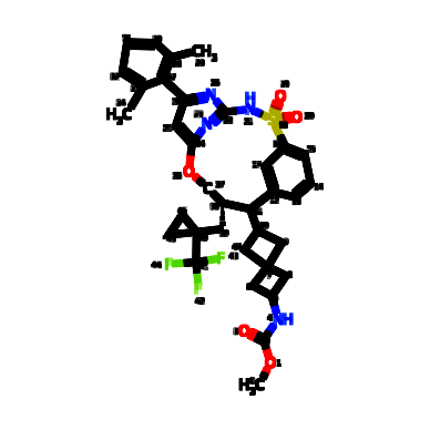 COC(=O)NC1CC2(C1)CC(C1c3cccc(c3)S(=O)(=O)Nc3nc(cc(-c4c(C)cccc4C)n3)OC[C@H]1CC1(C(F)(F)F)CC1)C2